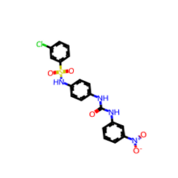 O=C(Nc1ccc(NS(=O)(=O)c2cccc(Cl)c2)cc1)Nc1cccc([N+](=O)[O-])c1